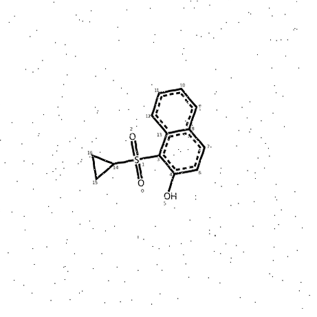 O=S(=O)(c1c(O)ccc2ccccc12)C1CC1